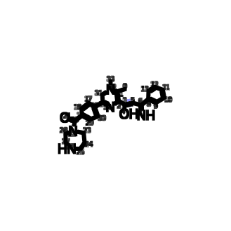 CC1=C(/C(O)=C/C(=N)c2ccccc2)N=C(c2ccc(C(=O)N3CCCNCC3)cc2)CN1C